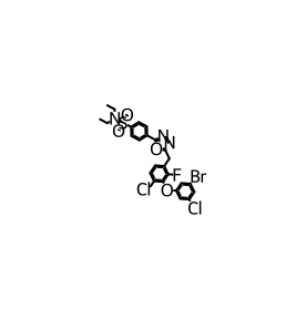 CCN(CC)S(=O)(=O)c1ccc(-c2nnc(Cc3ccc(Cl)c(Oc4cc(Cl)cc(Br)c4)c3F)o2)cc1